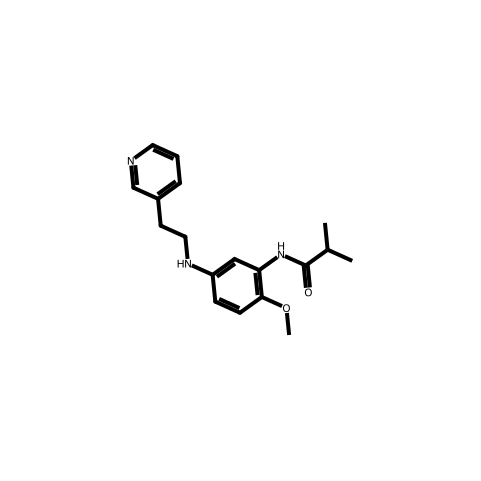 COc1ccc(NCCc2cccnc2)cc1NC(=O)C(C)C